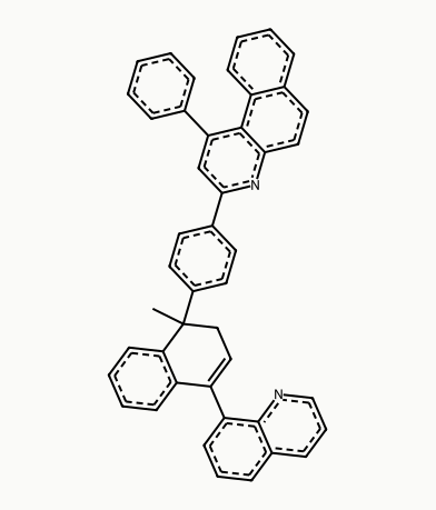 CC1(c2ccc(-c3cc(-c4ccccc4)c4c(ccc5ccccc54)n3)cc2)CC=C(c2cccc3cccnc23)c2ccccc21